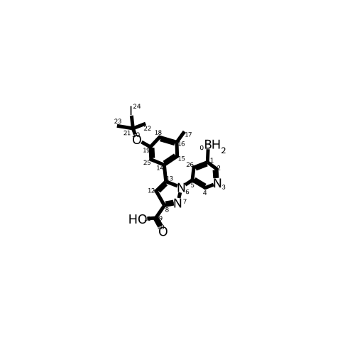 Bc1cncc(-n2nc(C(=O)O)cc2-c2cc(C)cc(OC(C)(C)I)c2)c1